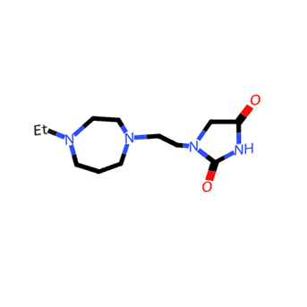 CCN1CCCN(CCN2CC(=O)NC2=O)CC1